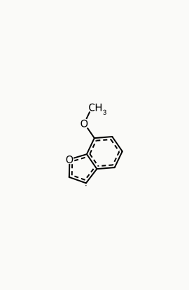 COc1cccc2[c]coc12